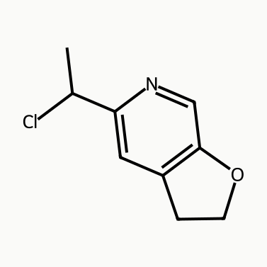 CC(Cl)c1cc2c(cn1)OCC2